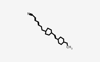 CCC1CCC(C=CC2CCC(CCC=CC=CC#N)CC2)CC1